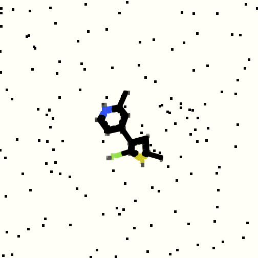 Cc1cc(-c2cc(C)sc2F)ccn1